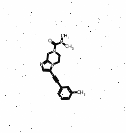 Cc1cccc(C#Cc2cnc3n2CCN(C(=O)N(C)C)C3)c1